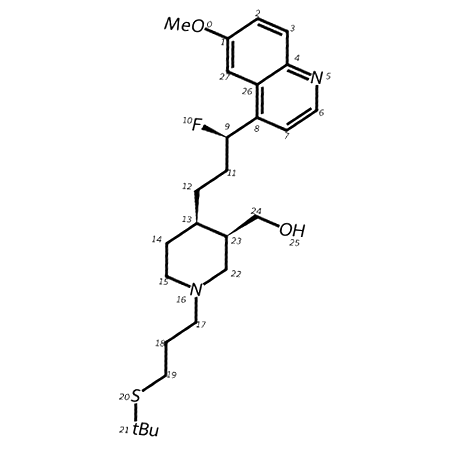 COc1ccc2nccc([C@H](F)CC[C@@H]3CCN(CCCSC(C)(C)C)C[C@@H]3CO)c2c1